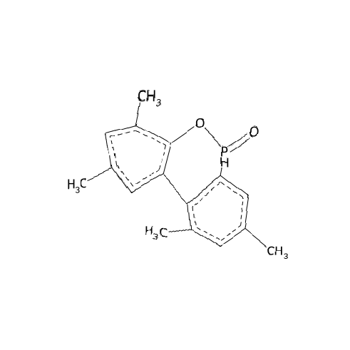 Cc1cc(C)c2c(c1)-c1c(C)cc(C)cc1[PH](=O)O2